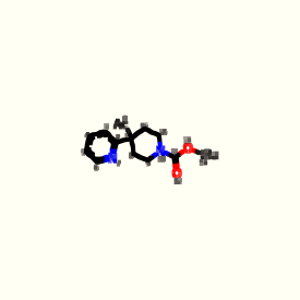 CC(=O)C1(c2ccccn2)CCN(C(=O)OC(C)(C)C)CC1